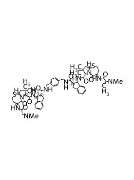 CNCC(=O)N[C@H]1CCS[C@H]2CC(C)(C)[C@@H](C(=O)N[C@H]3c4ccccc4C[C@H]3C(=O)NCc3ccc(CNC(=O)[C@@H]4Cc5ccccc5C4NC(=O)[C@H]4N5C(=O)[C@@H](NC(=O)[C@H](C)NC)CCS[C@H]5CC4(C)C)cc3)N2C1=O